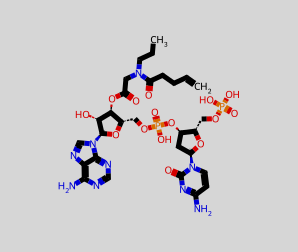 C=CCCC(=O)N(CCC)CC(=O)O[C@H]1[C@@H](O)[C@H](n2cnc3c(N)ncnc32)O[C@H]1COP(=O)(O)O[C@H]1C[C@H](n2ccc(N)nc2=O)O[C@H]1COP(=O)(O)O